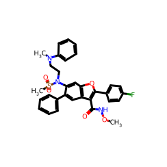 CONC(=O)c1c(-c2ccc(F)cc2)oc2cc(N(CCN(C)c3ccccc3)S(C)(=O)=O)c(-c3ccccc3)cc12